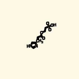 C=CC(=O)OCCS(=O)(=O)O.c1c[nH]cn1